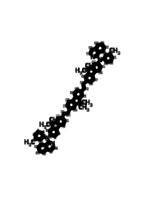 Cc1cccc(N(c2ccc3c(c2)C(C)(C)c2cc(/C=C/c4ccc5c(c4)C(C)(C)c4cc(/C=C/c6ccc7c(c6)C(C)(C)c6cc(N(c8cccc(C)c8)c8nccc9ccccc89)ccc6-7)ccc4-5)ccc2-3)c2nccc3ccccc23)c1